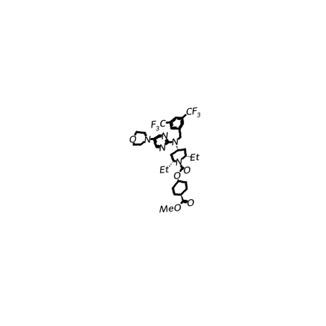 CC[C@@H]1C[C@H](N(Cc2cc(C(F)(F)F)cc(C(F)(F)F)c2)c2ncc(N3CCOCC3)cn2)C[C@H](CC)N1C(=O)O[C@H]1CC[C@H](C(=O)OC)CC1